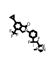 Cn1cnnc1[C@H](F)[C@@](C)(F)c1cccc(N2Cc3c(cc(C4CC4)cc3C(F)(F)F)C2=O)c1